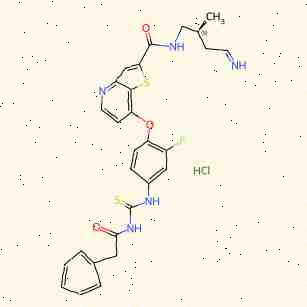 C[C@@H](CC=N)CNC(=O)c1cc2nccc(Oc3ccc(NC(=S)NC(=O)Cc4ccccc4)cc3F)c2s1.Cl